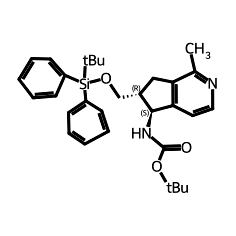 Cc1nccc2c1C[C@@H](CO[Si](c1ccccc1)(c1ccccc1)C(C)(C)C)[C@@H]2NC(=O)OC(C)(C)C